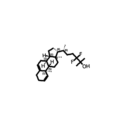 C[C@H](CCC(F)(F)C(C)(C)O)[C@H]1CC[C@H]2[C@@H]3CC=C4CCC=C[C@]4(C)[C@H]3CC[C@]12C